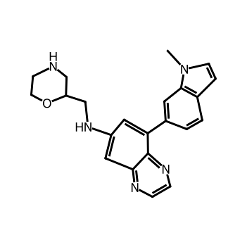 Cn1ccc2ccc(-c3cc(NCC4CNCCO4)cc4nccnc34)cc21